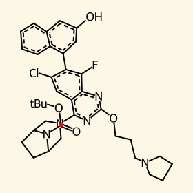 CC(C)(C)OC(=O)N1C2CCC1CN(c1nc(OCCCN3CCCC3)nc3c(F)c(-c4cc(O)cc5ccccc45)c(Cl)cc13)C2